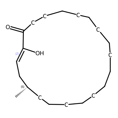 C[C@@H]1C/C=C(\O)C(=O)CCCCCCCCCCCCCCC1